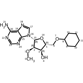 CO[C@@H]1[C@H](O)[C@@H](COC2CCCCC2)O[C@H]1n1cnc2c(N)ncnc21